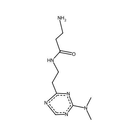 CN(C)c1ncnc(CCNC(=O)CCN)n1